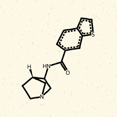 O=C(NC1CN2CC[C@H]1C2)c1ccc2ccsc2c1